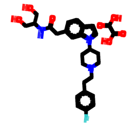 O=C(Cc1ccc2ccn(C3CCN(CCc4ccc(F)cc4)CC3)c2c1)NC(CO)CO.O=C(O)C(=O)O